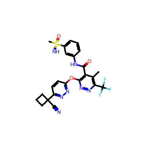 Cc1c(C(F)(F)F)nnc(Oc2ccc(C3(C#N)CCC3)nn2)c1C(=O)Nc1cccc(S(C)(=N)=O)c1